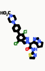 O=C(Nc1nccs1)C(c1ncn2c1CCC2)n1cc2c(Cl)cc(-c3ccc(N4CCN(C(=O)O)CC4)cc3)c(Cl)c2n1